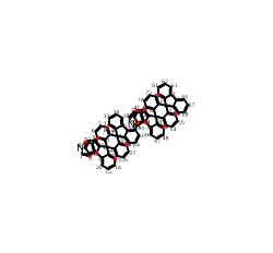 c1cncc(-c2cccc3c2C2(c4ccccc4-c4ccccc42)c2ccccc2C32c3ccccc3-c3c(-c4cccc5c4-c4ccccc4C54c5ccccc5C5(c6ccccc6-c6ccccc65)c5cccc(-c6ccncc6)c54)cccc32)c1